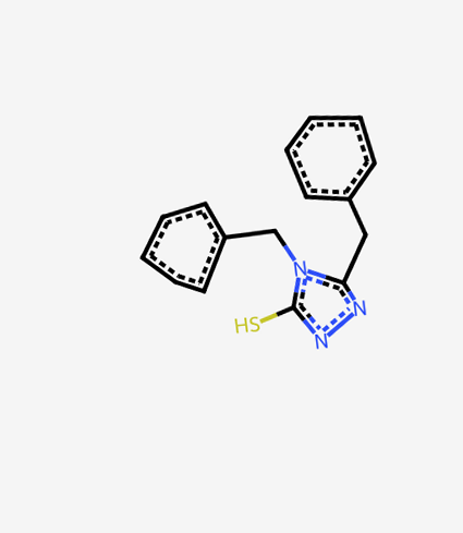 Sc1nnc(Cc2ccccc2)n1Cc1ccccc1